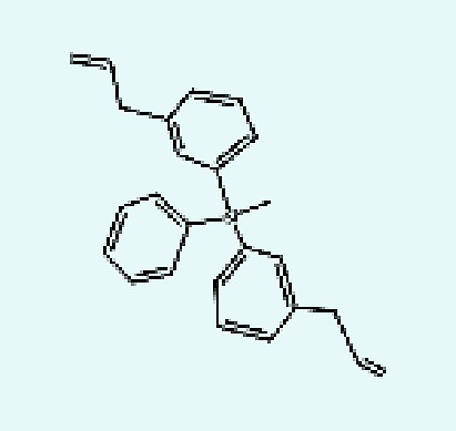 C=CCc1cccc([Si](C)(c2ccccc2)c2cccc(CC=C)c2)c1